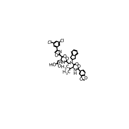 CC(C)[C@H](NC(=O)c1ccc2c(c1)OCO2)C(=O)N(CC(=O)N[C@@H](CC(=O)O)C(=O)c1nc(-c2cc(Cl)cc(Cl)c2)co1)C1Cc2ccccc2C1